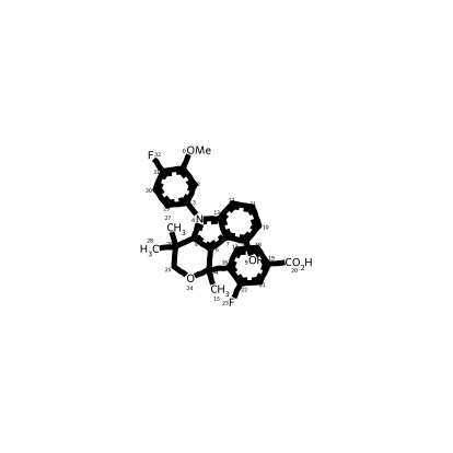 COc1cc(-n2c3c(c4c(O)cccc42)C(C)(c2ccc(C(=O)O)cc2F)OCC3(C)C)ccc1F